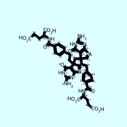 Nc1nc2c(c(=O)[nH]1)C(CCc1ccc(C(=O)NC(CCC(=O)O)C(=O)O)cc1)(CC1(CCc3ccc(C(=O)NC(CCC(=O)O)C(=O)O)cc3)C=Nc3nc(N)[nH]c(=O)c31)C=N2